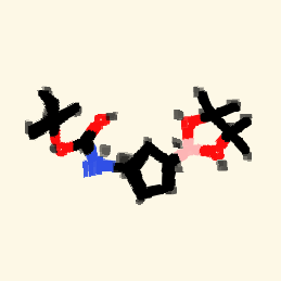 CC(C)(C)OC(=O)N[C@@H]1CC=C(B2OC(C)(C)C(C)(C)O2)C1